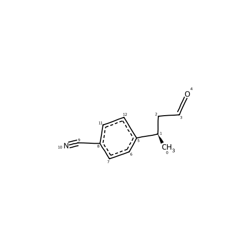 C[C@H](CC=O)c1ccc(C#N)cc1